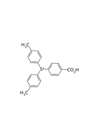 Cc1ccc([S+](c2ccc(C)cc2)c2ccc(C(=O)O)cc2)cc1